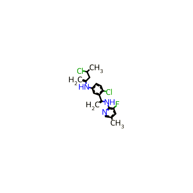 C=C(CC(C)Cl)Nc1ccc(Cl)c(C(=C)Nc2ncc(C)cc2F)c1